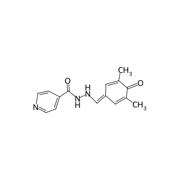 CC1=CC(=CNNC(=O)c2ccncc2)C=C(C)C1=O